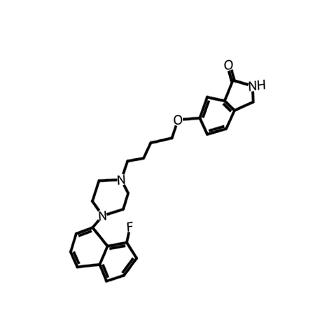 O=C1NCc2ccc(OCCCCN3CCN(c4cccc5cccc(F)c45)CC3)cc21